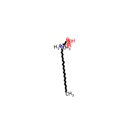 CCCCCCCCCCCCCCCCCCCCCCCC[N+](C)(C)CC(O)CS(=O)(=O)O